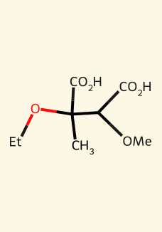 CCOC(C)(C(=O)O)C(OC)C(=O)O